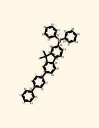 CC1(C)c2cc(-c3ccc(-c4ccccc4)cc3)ccc2-c2ccc(N(c3ccccc3)c3ccccc3)cc21